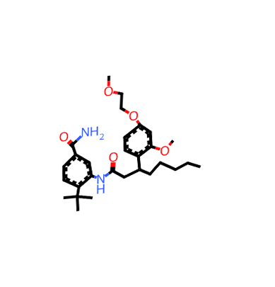 CCCCCC(CC(=O)Nc1cc(C(N)=O)ccc1C(C)(C)C)c1ccc(OCCOC)cc1OC